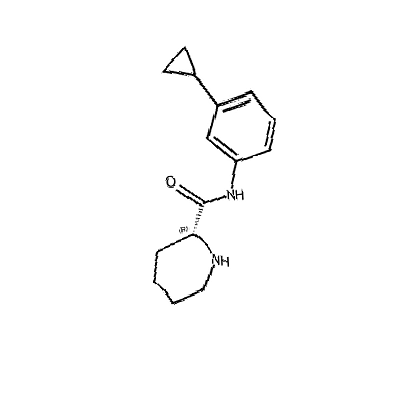 O=C(Nc1cccc(C2CC2)c1)[C@H]1CCCCN1